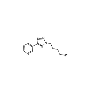 CC(C)CCCCn1nnc(-c2cccnc2)n1